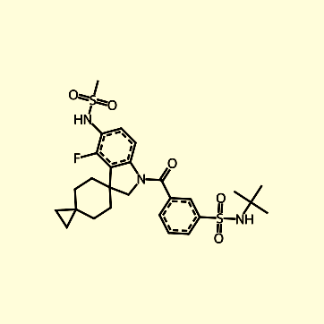 CC(C)(C)NS(=O)(=O)c1cccc(C(=O)N2CC3(CCC4(CC4)CC3)c3c2ccc(NS(C)(=O)=O)c3F)c1